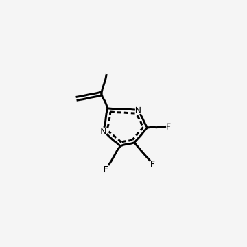 C=C(C)c1nc(F)c(F)c(F)n1